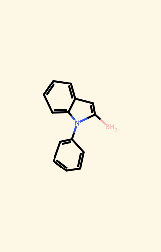 Bc1cc2ccccc2n1-c1ccccc1